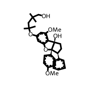 COc1ccc([C@@]23Oc4cc(OC(C)(C)CC(C)(C)CO)cc(OC)c4[C@]2(O)CC[C@H]3c2ccccc2)cc1